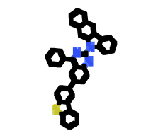 c1ccc(-c2nc(-n3c4ccccc4c4cc5ccccc5cc43)nc3ccc(-c4ccc5sc6ccccc6c5c4)cc23)cc1